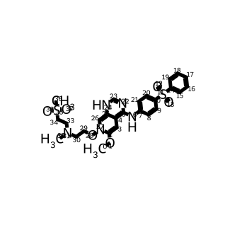 COC1=CC2=C(Nc3ccc(S(=O)(=O)c4ccccc4)cc3)N=CNC2=CN1OCCN(C)CCS(C)(=O)=O